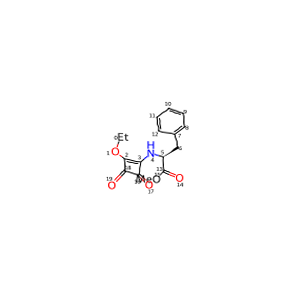 CCOc1c(N[C@@H](Cc2ccccc2)C(=O)OC)c(=O)c1=O